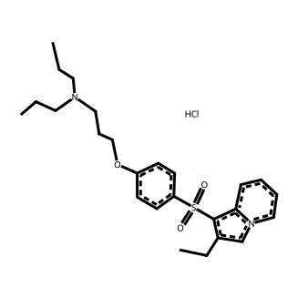 CCCN(CCC)CCCOc1ccc(S(=O)(=O)c2c(CC)cn3ccccc23)cc1.Cl